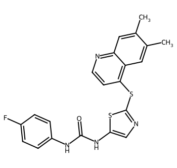 Cc1cc2nccc(Sc3ncc(NC(=O)Nc4ccc(F)cc4)s3)c2cc1C